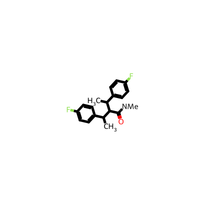 CNC(=O)C(C(C)c1ccc(F)cc1)C(C)c1ccc(F)cc1